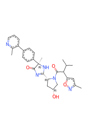 Cc1cc(C(C(=O)N2C[C@H](O)C[C@@H]2C2=NC(=O)[C@@](C)(c3ccc(-c4cccnc4C)cc3)N2)C(C)C)on1